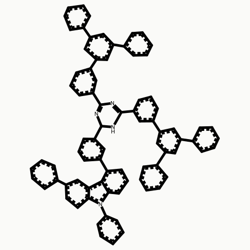 c1ccc(-c2cc(-c3ccccc3)cc(-c3cccc(C4=NC(c5cccc(-c6cccc7c6c6cc(-c8ccccc8)ccc6n7-c6ccccc6)c5)NC(c5cccc(-c6cc(-c7ccccc7)cc(-c7ccccc7)c6)c5)=N4)c3)c2)cc1